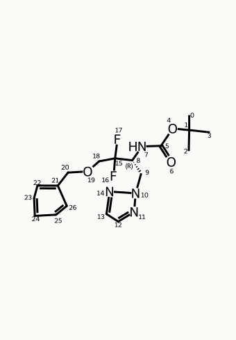 CC(C)(C)OC(=O)N[C@H](Cn1nccn1)C(F)(F)COCc1ccccc1